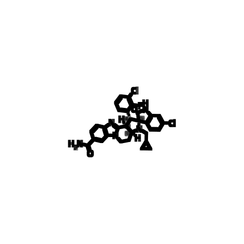 NC(=O)c1ccc2nc3n(c2c1)CC[C@H]1[C@@H]3[C@H](c2cccc(Cl)c2F)[C@]2(C(=O)Nc3cc(Cl)ccc32)N1CC1CC1